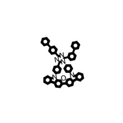 c1ccc(-c2ccc(-c3nc(-c4ccc(-n5c6ccccc6c6ccc7c8ccc9c%10ccccc%10n(-c%10ccccc%10)c9c8oc7c65)cc4)nc(-c4cccc(-c5ccccc5)c4)n3)cc2)cc1